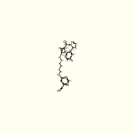 N#Cc1cc(OCCCCCCC23CC(C(=O)N4N=CCC4c4cncc(F)c4)(C2)C3)ncn1